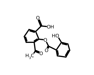 CC(=O)c1cccc(C(=O)O)c1OC(=O)c1ccccc1O